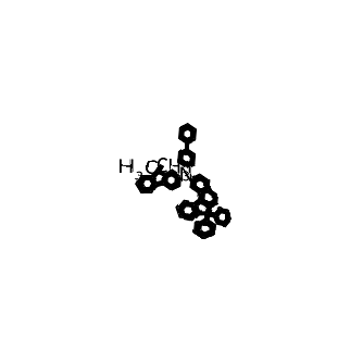 CC1(C)c2ccccc2-c2ccc(N(c3ccc(-c4ccccc4)cc3)c3ccc4ccc5c(c4c3)-c3ccccc3C5(c3ccccc3)c3ccccc3)cc21